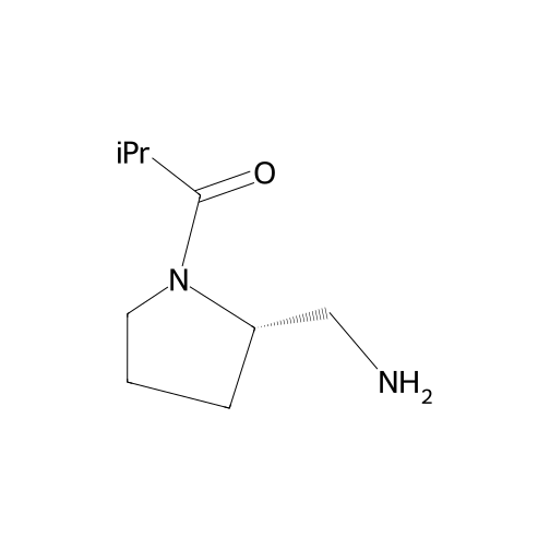 CC(C)C(=O)N1CCC[C@H]1CN